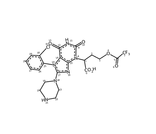 O=C(O)C(CCOC(=O)C(F)(F)F)n1c(=O)[nH]c(=O)c2c1nc(N1CCNCC1)n2-c1ccccc1Cl